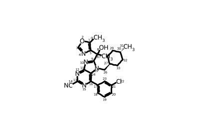 Cc1ocnc1C(C)(O)c1nc2nc(C#N)nc(-c3cccc(Cl)c3)c2n1C[C@H]1CC[C@H](C)CC1